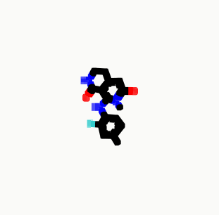 Cc1ccc(Nc2c3c(cc(=O)n2C)CCNC3=O)c(F)c1